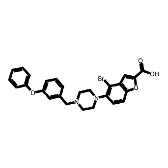 O=C(O)c1cc2c(Br)c(N3CCN(Cc4cccc(Oc5ccccc5)c4)CC3)ccc2o1